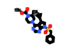 C[C@@H]1CN(c2ncnc3c2c(C2CC2)cn3S(=O)(=O)Cc2ccccc2)CCN1C(=O)OC(C)(C)C